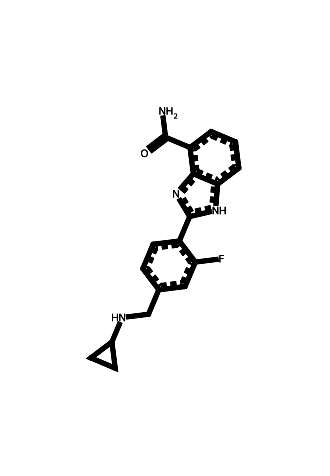 NC(=O)c1cccc2[nH]c(-c3ccc(CNC4CC4)cc3F)nc12